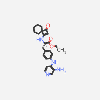 CCOC(=O)[C@H](Cc1ccc(Nc2ccncc2N)cc1)NC1=CC(=O)C12CCCCC2